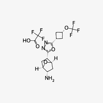 N[C@H]1C[C@H]2O[C@@H]1C[C@@H]2c1nnc([C@H]2C[C@@H](OC(F)(F)F)C2)o1.O=C(O)C(F)(F)F